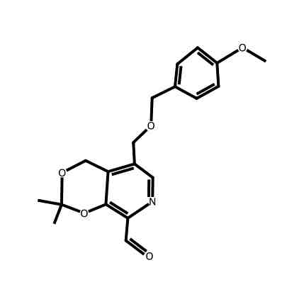 COc1ccc(COCc2cnc(C=O)c3c2COC(C)(C)O3)cc1